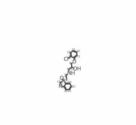 [O-][N+]1(CCNCC(O)COc2ccccc2Cl)C=Nc2ccccc21